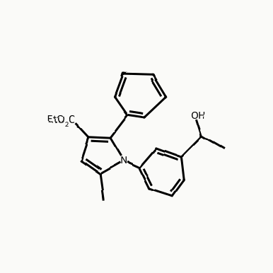 CCOC(=O)c1cc(C)n(-c2cccc(C(C)O)c2)c1-c1ccccc1